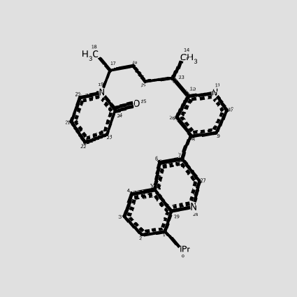 CC(C)c1cccc2cc(-c3ccnc(C(C)CCC(C)n4ccccc4=O)c3)cnc12